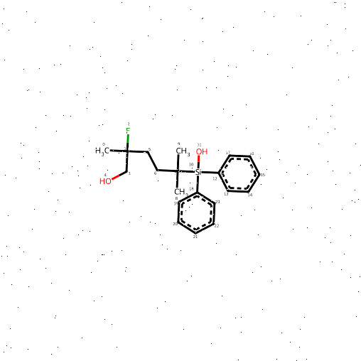 CC(F)(CO)CCC(C)(C)[Si](O)(c1ccccc1)c1ccccc1